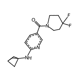 O=C(c1ccc(NC23CC(C2)C3)nc1)N1CCC(F)(F)CC1